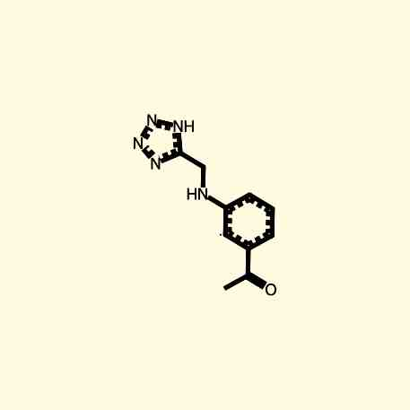 CC(=O)c1[c]c(NCc2nnn[nH]2)ccc1